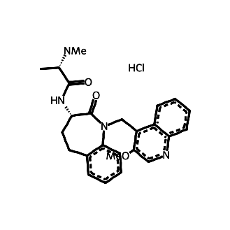 CN[C@@H](C)C(=O)N[C@H]1CCc2ccccc2N(Cc2c(OC)cnc3ccccc23)C1=O.Cl